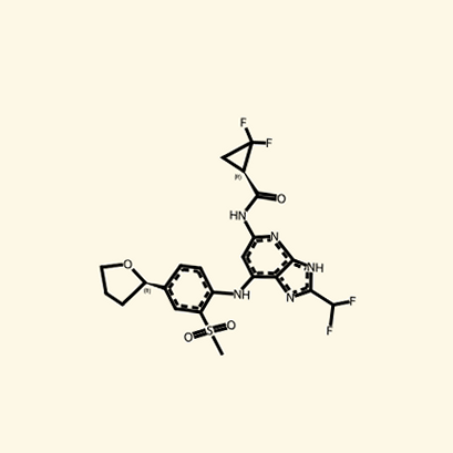 CS(=O)(=O)c1cc([C@H]2CCCO2)ccc1Nc1cc(NC(=O)[C@H]2CC2(F)F)nc2[nH]c(C(F)F)nc12